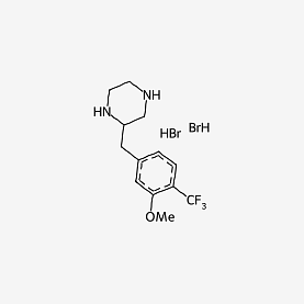 Br.Br.COc1cc(CC2CNCCN2)ccc1C(F)(F)F